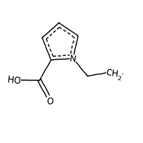 [CH2]Cn1cccc1C(=O)O